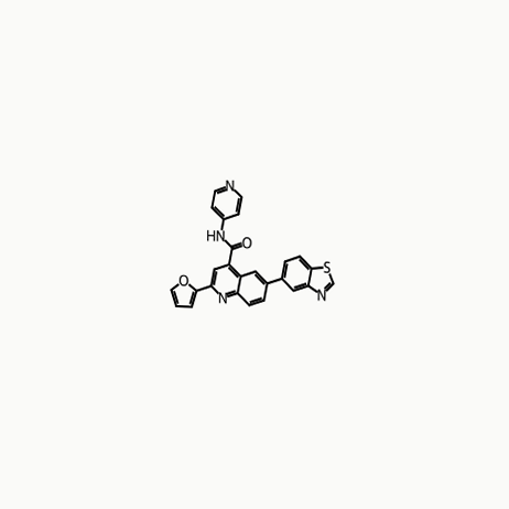 O=C(Nc1ccncc1)c1cc(-c2ccco2)nc2ccc(-c3ccc4scnc4c3)cc12